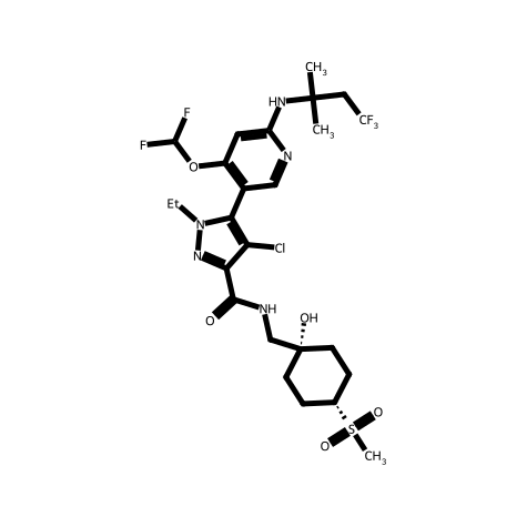 CCn1nc(C(=O)NC[C@]2(O)CC[C@@H](S(C)(=O)=O)CC2)c(Cl)c1-c1cnc(NC(C)(C)CC(F)(F)F)cc1OC(F)F